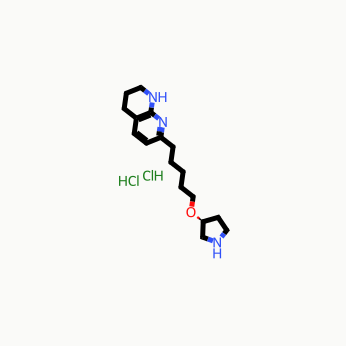 Cl.Cl.c1cc2c(nc1CCCCCO[C@@H]1CCNC1)NCCC2